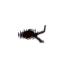 CCCCCCCC/C=C\CCCCCCCCCCCCCC(=O)N[C@@H](CO[C@@H]1OC(CO)[C@@H](O[C@@H]2OC(CO)[C@H](O)[C@H](O[C@@H]3OC(CO)[C@@H](O[C@H]4OC(C)[C@@H](O)C(O)[C@@H]4O)[C@H](O[C@@H]4OC(CO)[C@H](O)[C@H](O)C4O)C3NC(C)=O)C2O)[C@H](O)C1O)[C@H](O)/C=C/CCCCCCCCCCCCC